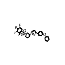 O=S(=O)(c1cc(F)c(F)c(F)c1F)N1CCC[C@@H](n2ccc(-c3ccc(Oc4ccccc4)cc3)n2)C1